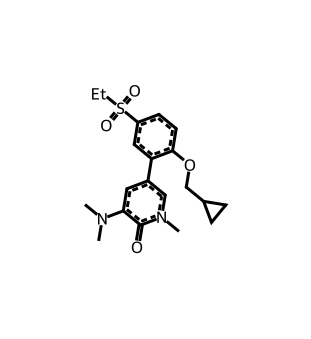 CCS(=O)(=O)c1ccc(OCC2CC2)c(-c2cc(N(C)C)c(=O)n(C)c2)c1